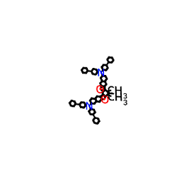 Cc1c(C)c2c3cc4ccc(N(c5ccc(-c6ccccc6)cc5)c5ccc(-c6ccccc6)cc5)cc4cc3oc2c2c1oc1cc3cc(N(c4ccc(-c5ccccc5)cc4)c4ccc(-c5ccccc5)cc4)ccc3cc12